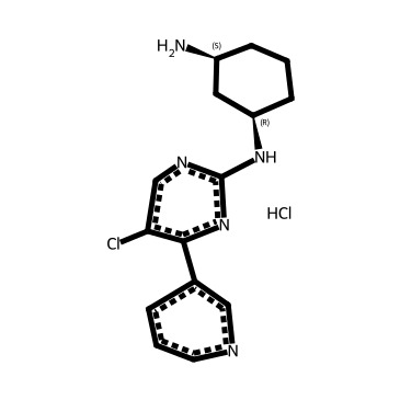 Cl.N[C@H]1CCC[C@@H](Nc2ncc(Cl)c(-c3cccnc3)n2)C1